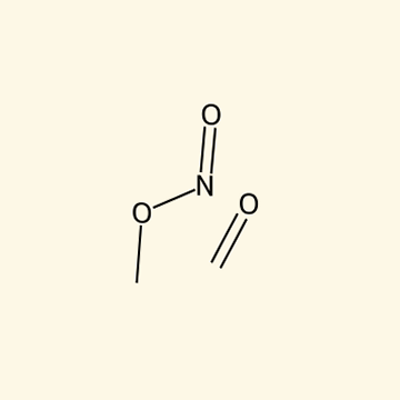 C=O.CON=O